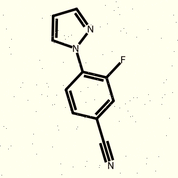 N#Cc1ccc(-n2cccn2)c(F)c1